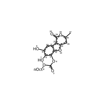 CCCCCCCCOC(=O)Oc1c(O)c(O)cc2c1oc1cc(C)oc(=O)c12